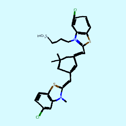 CN1/C(=C/C2=CC(=C/c3sc4ccc(Cl)cc4[n+]3CCCS(=O)(=O)O)/CC(C)(C)C2)Sc2ccc(Cl)cc21